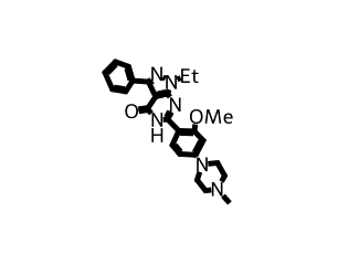 CCn1nc(-c2ccccc2)c2c(=O)[nH]c(-c3ccc(N4CCN(C)CC4)cc3OC)nc21